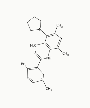 Cc1ccc(Br)c(C(=O)Nc2c(C)cc(C)c(N3CCCC3)c2C)c1